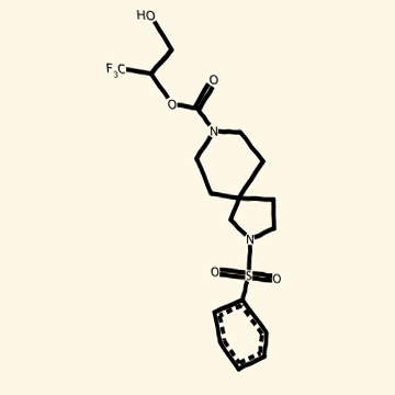 O=C(OC(CO)C(F)(F)F)N1CCC2(CC1)CCN(S(=O)(=O)c1ccccc1)C2